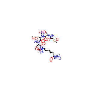 CC(=O)SCC(=O)NC(CO)C(=O)NC(CO)C(=O)NC(CO)C(=O)NCCCCCC(N)=O